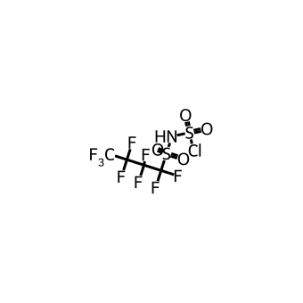 O=S(=O)(Cl)NS(=O)(=O)C(F)(F)C(F)(F)C(F)(F)C(F)(F)F